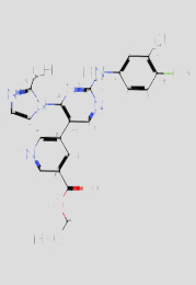 CCOC(=O)c1cncc(-c2cnc(Nc3ccc(F)c(Cl)c3)nc2-n2ccnc2C)c1